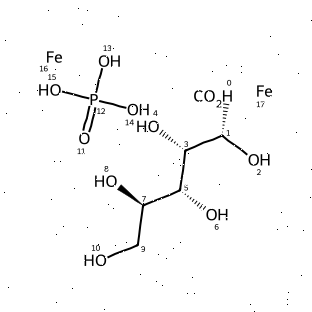 O=C(O)[C@H](O)[C@@H](O)[C@H](O)[C@H](O)CO.O=P(O)(O)O.[Fe].[Fe]